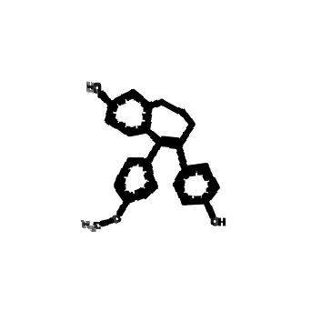 COc1ccc(C2=C(c3ccc(O)cc3)CCCc3cc(O)ccc32)cc1